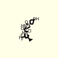 O=C(c1nc2c(C(F)(F)F)cc(C3CC3)cn2c1Cl)N1CCN(C2CCC(O)CC2)C(=O)N1